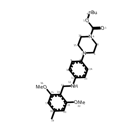 CCCCOC(=O)N1CCN(c2ccc(NCc3c(OC)cc(C)cc3OC)cc2)CC1